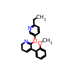 CCc1ccc(OC2=NCCC=C2c2ccccc2OC)cn1